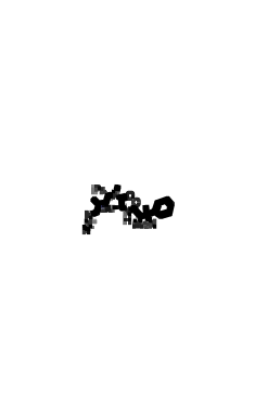 CN[C@H](C(=O)N[C@H](C(=O)N(C)[C@H](/C=C(\C)CN=[N+]=[N-])C(C)C)C(C)(C)C)C(C)(C)c1ccccc1